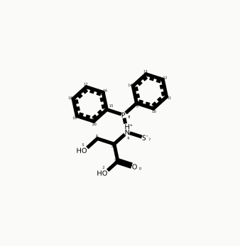 O=C(O)C(CO)[NH+]([S-])P(c1ccccc1)c1ccccc1